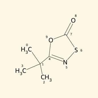 CC(C)(C)c1nsc(=O)o1